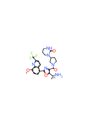 COc1ccc(-c2nc(C(=O)N3CCC(N4CCCNC4=O)C3)c([C@H](C)N)o2)c2ccc(C(F)(F)F)nc12